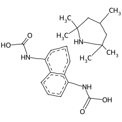 CC1CC(C)(C)NC(C)(C)C1.O=C(O)Nc1cccc2c(NC(=O)O)cccc12